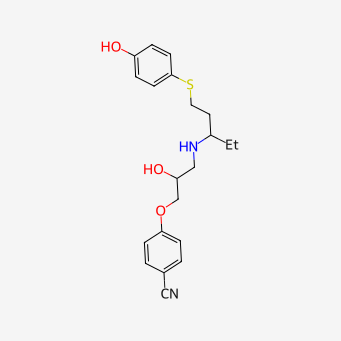 CCC(CCSc1ccc(O)cc1)NCC(O)COc1ccc(C#N)cc1